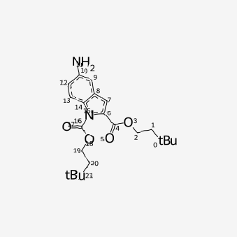 CC(C)(C)CCOC(=O)c1cc2cc(N)ccc2n1C(=O)OCCC(C)(C)C